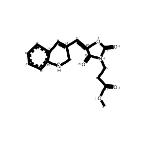 COC(=O)CCN1C(=O)O/C(=C/C2=Cc3ccccc3NC2)C1=O